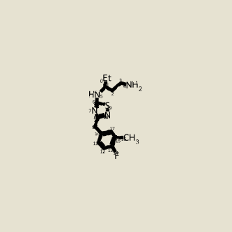 CCC(CCN)Nc1nc(Cc2ccc(F)c(C)c2)ns1